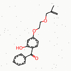 C=C(C)COCCOc1ccc(C(=O)c2ccccc2)c(O)c1